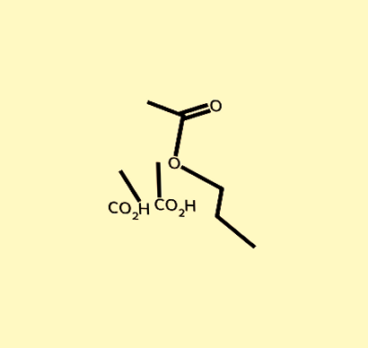 CC(=O)O.CC(=O)O.CCCOC(C)=O